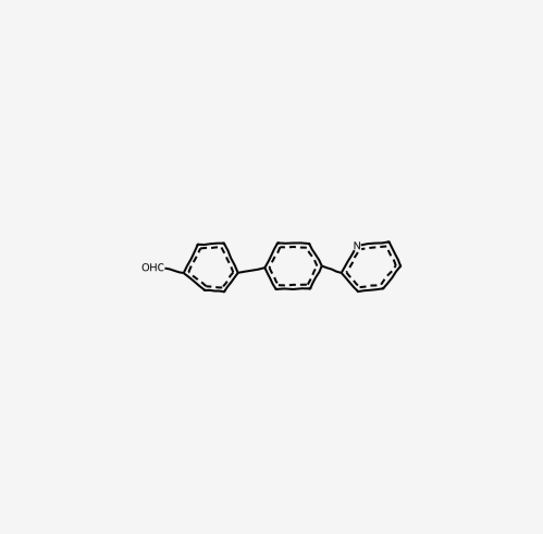 O=Cc1ccc(-c2ccc(-c3ccccn3)cc2)cc1